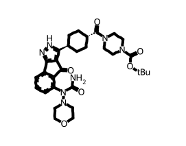 CC(C)(C)OC(=O)N1CCN(C(=O)[C@H]2CC[C@H](c3[nH]nc4c3C(=O)c3c-4cccc3N(C(N)=O)N3CCOCC3)CC2)CC1